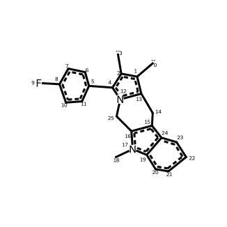 [CH]c1c([CH])c(-c2ccc(F)cc2)n2c1Cc1c(n(C)c3ccccc13)C2